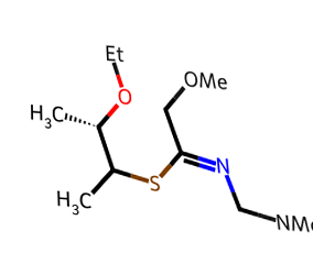 CCO[C@@H](C)C(C)S/C(COC)=N\CNC